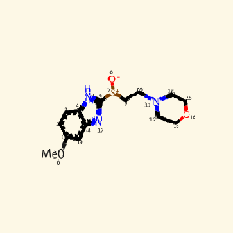 COc1ccc2[nH]c([S+]([O-])CCN3CCOCC3)nc2c1